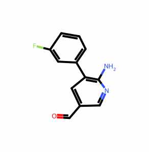 Nc1ncc(C=O)cc1-c1cccc(F)c1